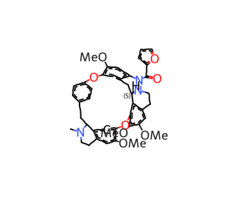 COc1cc2c3cc1Oc1ccc(cc1)CC1c4cc(c(OC)cc4CCN1C)Oc1c(OC)c(OC)cc4c1[C@H](C3)N(CC4)N2C(=O)c1ccco1